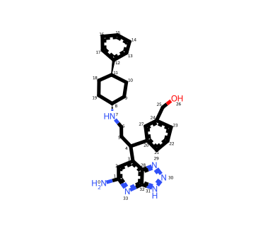 Nc1cc(C(CCN[C@H]2CC[C@H](c3ccccc3)CC2)c2cccc(CO)c2)c2nn[nH]c2n1